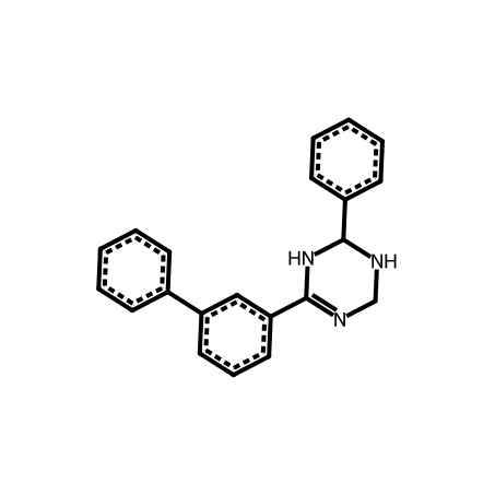 c1ccc(-c2cccc(C3=NCNC(c4ccccc4)N3)c2)cc1